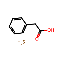 O=C(O)Cc1ccccc1.S